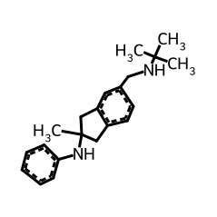 CC(C)(C)NCc1ccc2c(c1)CC(C)(Nc1ccccc1)C2